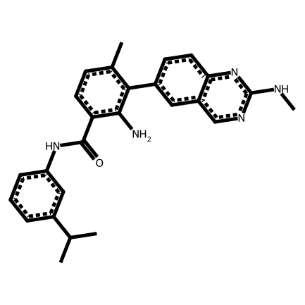 CNc1ncc2cc(-c3c(C)ccc(C(=O)Nc4cccc(C(C)C)c4)c3N)ccc2n1